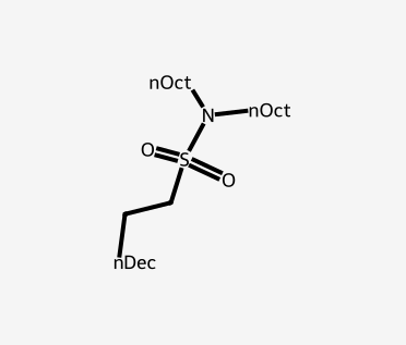 CCCCCCCCCCCCS(=O)(=O)N(CCCCCCCC)CCCCCCCC